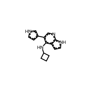 c1cc(-c2cnc3[nH]ccc3c2NC2CCC2)c[nH]1